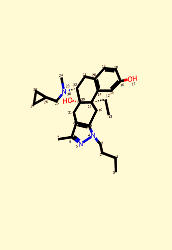 CCCCn1nc(C)c2c1C[C@]1(CC)c3cc(O)ccc3C[C@@H](N(C)CC3CC3)[C@]1(O)C2